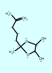 C=C(C)CCCC1(C)OC(O)C(O)O1